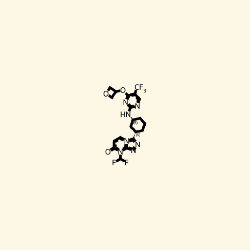 O=c1ccn2c([C@H]3CCC[C@@H](Nc4ncc(C(F)(F)F)c(OC5COC5)n4)C3)nnc2n1C(F)F